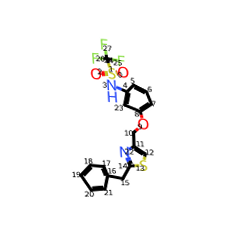 O=S(=O)(Nc1cccc(OCc2csc(Cc3ccccc3)n2)c1)C(F)(F)F